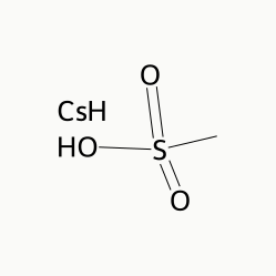 CS(=O)(=O)O.[CsH]